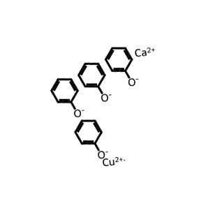 [Ca+2].[Cu+2].[O-]c1ccccc1.[O-]c1ccccc1.[O-]c1ccccc1.[O-]c1ccccc1